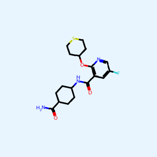 NC(=O)C1CCC(NC(=O)c2cc(F)cnc2OC2CCSCC2)CC1